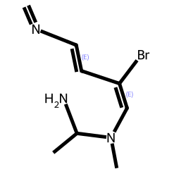 C=N/C=C/C(Br)=C\N(C)C(C)N